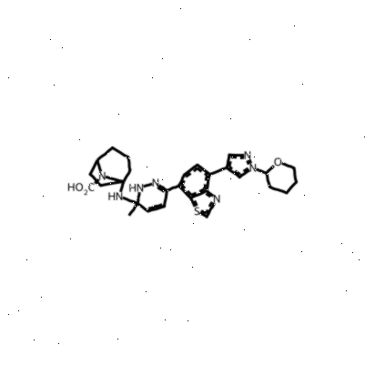 CC1(NC23CCCC(CC2)N3C(=O)O)C=CC(c2ccc(-c3cnn(C4CCCCO4)c3)c3ncsc23)=NN1